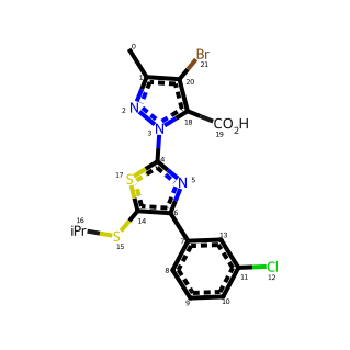 Cc1nn(-c2nc(-c3cccc(Cl)c3)c(SC(C)C)s2)c(C(=O)O)c1Br